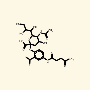 CC(=O)CCC(=O)Nc1ccc(OC2(C(=O)O)CC(O)C(NC(C)=O)C(C(O)C(O)CO)O2)c(C(F)F)c1